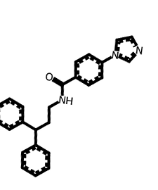 O=C(NCCC(c1ccccc1)c1ccccc1)c1ccc(-n2ccnc2)cc1